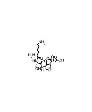 NCCCC[C@H](N)C(=O)N[C@@H](CO)C(=O)N[C@@H](CO)C(=O)N[C@@H](CC(=O)O)C(=O)O